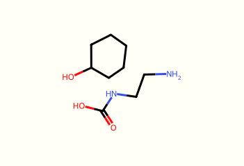 NCCNC(=O)O.OC1CCCCC1